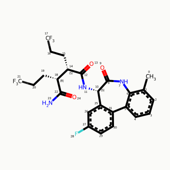 Cc1cccc2c1NC(=O)[C@@H](NC(=O)[C@@H](CCC(F)(F)F)[C@@H](CCC(F)(F)F)C(N)=O)c1cc(F)ccc1-2